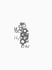 CC(=O)O[C@@H]1CC[C@@]2(C)[C@H](CC[C@@H]3[C@@H]2CC[C@]2(CC#N)[C@@H](C4(C)OCCO4)CC[C@@H]32)C1